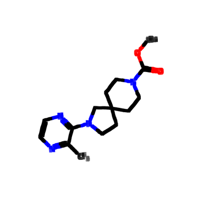 CC(C)(C)OC(=O)N1CCC2(CC1)CCN(c1nccnc1C(F)(F)F)C2